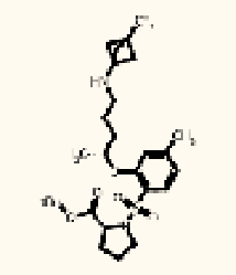 Cc1ccc(S(=O)(=O)N2CCC[C@H]2C(=O)OC(C)(C)C)c(O[C@H](C)CCCNC23CC(C(F)(F)F)(C2)C3)c1